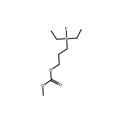 CC[Si](F)(CC)CCCOC(=O)OC